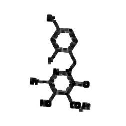 CCOC(=O)c1c(O)c(C(C)C)nn(Cc2ccc(Br)cc2F)c1=O